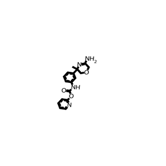 CC1(c2cccc(NC(=O)Oc3ccccn3)c2)COCC(N)=N1